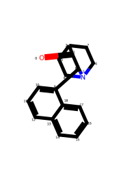 O=C1C2CCN(CC2)C1c1cccc2ccccc12